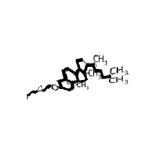 CC(C)CCC[C@@H](C)[C@H]1CCC2C3CC=C4CC(OCCOCCI)CC[C@]4(C)C3CC[C@@]21C